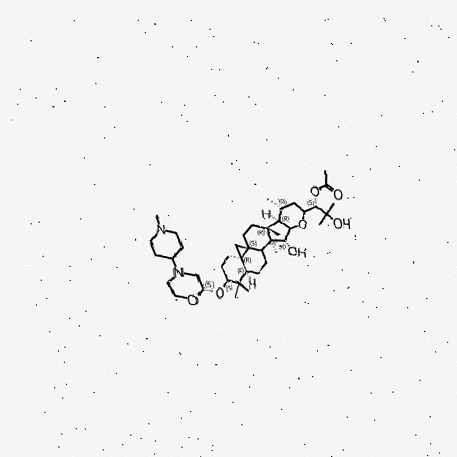 CC(=O)O[C@@H](C1C[C@@H](C)[C@H]2C(O1)[C@H](O)[C@@]1(C)C3CC[C@H]4C(C)(C)[C@@H](O[C@H]5CN(C6CCN(C)CC6)CCO5)CC[C@@]45C[C@@]35CC[C@]21C)C(C)(C)O